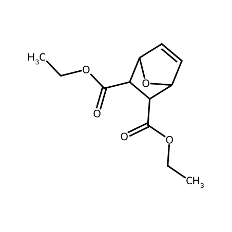 CCOC(=O)C1C2C=CC(O2)C1C(=O)OCC